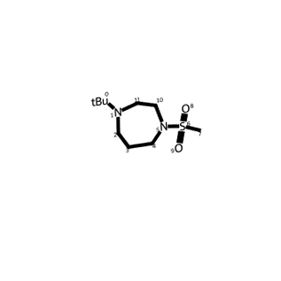 CC(C)(C)N1CCCN(S(C)(=O)=O)CC1